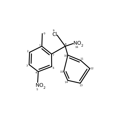 Cc1ccc([N+](=O)[O-])cc1C(Cl)(c1ccccc1)[N+](=O)[O-]